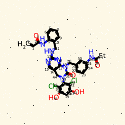 C=CC(=O)Nc1ccccc1CNc1ncc2c(n1)N(Cc1cccc(NC(=O)CC)c1)C(=O)N(c1c(Cl)c(O)cc(O)c1Cl)C2